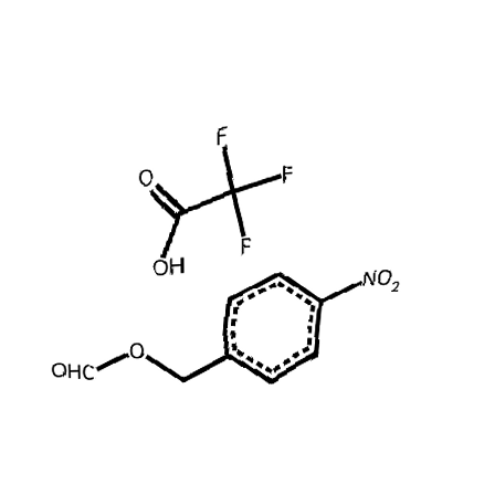 O=C(O)C(F)(F)F.O=COCc1ccc([N+](=O)[O-])cc1